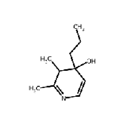 CCCC1(O)C=CN=C(C)C1C